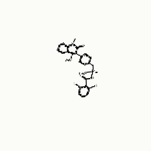 COc1c(-c2ccc(C[C@](C)(NC(=O)c3c(Cl)cccc3Cl)C(=O)O)cc2)c(=O)n(C)c2ccccc12